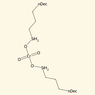 CCCCCCCCCCCCC[SiH2][O][Cr](=[O])(=[O])[O][SiH2]CCCCCCCCCCCCC